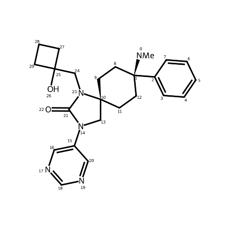 CN[C@]1(c2ccccc2)CC[C@@]2(CC1)CN(c1cncnc1)C(=O)N2CC1(O)CCC1